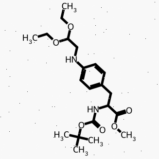 CCOC(CNc1ccc(CC(NC(=O)OC(C)(C)C)C(=O)OC)cc1)OCC